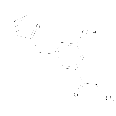 NOC(=O)c1cc(Cc2ccco2)cc(C(=O)O)c1